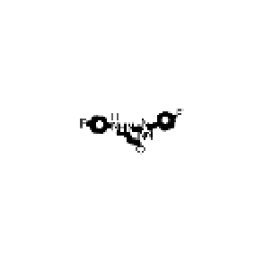 O=c1cc(CNc2ccc(F)cc2)[nH]c2nc(-c3ccc(F)cc3)nn12